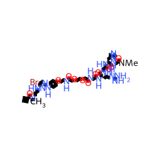 CNC(=O)CNC(=O)[C@H](Cc1cnc[nH]1)NC(=O)CNC(=O)[C@H](CCCNC(=N)N)NC(=O)CNC(=O)COCCOCC(=O)NCCOc1ccc(Nc2ncc(Br)c(NCCCN(C)C(=O)C3CCC3)n2)cc1